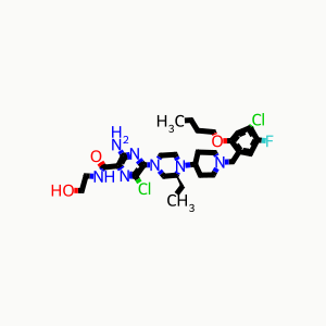 CCCCOc1cc(Cl)c(F)cc1CN1CCC(N2CCN(c3nc(N)c(C(=O)NCCO)nc3Cl)C[C@@H]2CC)CC1